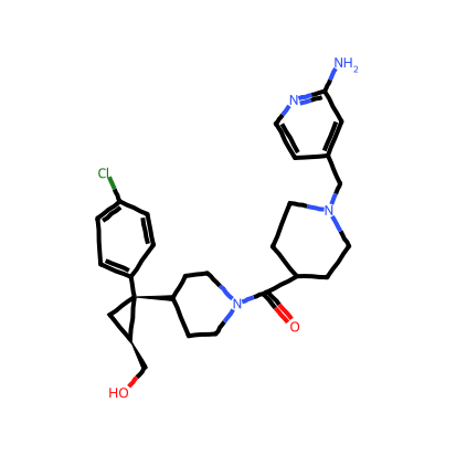 Nc1cc(CN2CCC(C(=O)N3CCC([C@]4(c5ccc(Cl)cc5)C[C@@H]4CO)CC3)CC2)ccn1